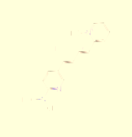 CN(C)c1ccc(/C=C/C=C/c2cccc[n+]2C)cn1.[I-]